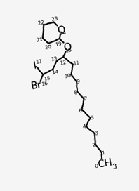 CCCCCCCCCCCCC(CCC(Br)I)OC1CCCCO1